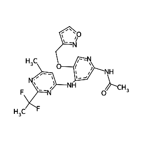 CC(=O)Nc1cc(Nc2cc(C)nc(C(C)(F)F)n2)c(OCc2ccon2)cn1